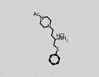 CC(=O)N1CCN(CC[C@@H](N)CSc2ccccc2)CC1.Cl